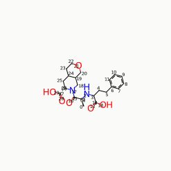 C[C@H](NC(CCc1ccccc1)C(=O)O)C(=O)N1CC2COCCC2C[C@H]1C(=O)O